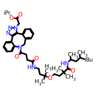 CCC(C)C(C)CC(C)NC(=O)C(C)(C)CCOC(C)(C)CCNC(=O)CCC(=O)N1Cc2ccccc2-c2c(nnn2CC(=O)OC(C)C)-c2ccccc21